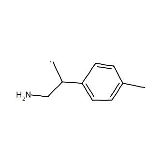 [CH2]C(CN)c1ccc(C)cc1